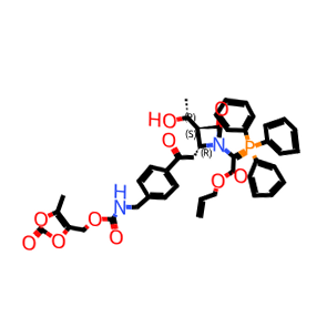 C=CCOC(=O)C(N1C(=O)[C@H]([C@@H](C)O)[C@H]1CC(=O)c1ccc(CNC(=O)OCc2oc(=O)oc2C)cc1)=P(c1ccccc1)(c1ccccc1)c1ccccc1